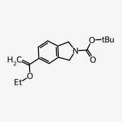 C=C(OCC)c1ccc2c(c1)CN(C(=O)OC(C)(C)C)C2